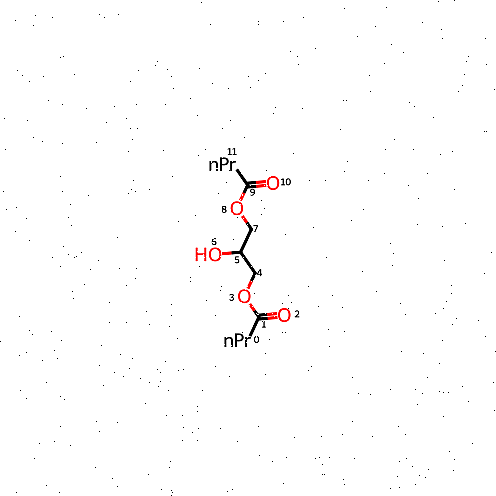 CCCC(=O)OCC(O)COC(=O)CCC